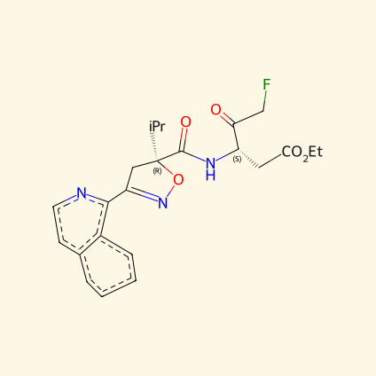 CCOC(=O)C[C@H](NC(=O)[C@]1(C(C)C)CC(c2nccc3ccccc23)=NO1)C(=O)CF